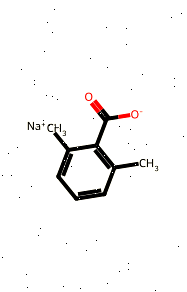 Cc1cccc(C)c1C(=O)[O-].[Na+]